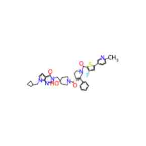 Cc1ccc(-c2cc(F)c(C(=O)N3CC[C@@H](C(=O)N4CCC(O)(Cn5cnc6c(ccn6CC6CCC6)c5=O)CC4)[C@H](c4ccccc4)C3)s2)cn1